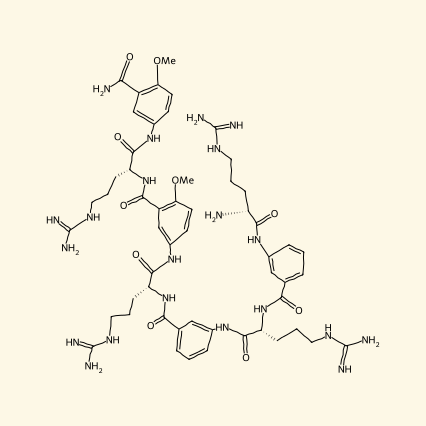 COc1ccc(NC(=O)[C@@H](CCCNC(=N)N)NC(=O)c2cc(NC(=O)[C@@H](CCCNC(=N)N)NC(=O)c3cccc(NC(=O)[C@@H](CCCNC(=N)N)NC(=O)c4cccc(NC(=O)[C@H](N)CCCNC(=N)N)c4)c3)ccc2OC)cc1C(N)=O